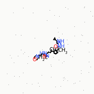 C=N/C(=C\C=C(/C)c1cccc(C(C)C(=O)Nc2cc(C3CC3)[nH]n2)c1)NC(=O)/C=C/CN1CCOCC1